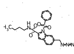 CCCCNS(=O)(=O)c1cc2ccc(CN=[N+]=[N-])cc2n1S(=O)(=O)c1ccccc1